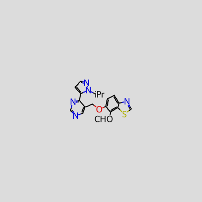 CC(C)n1nccc1-c1ncncc1COc1ccc2ncsc2c1C=O